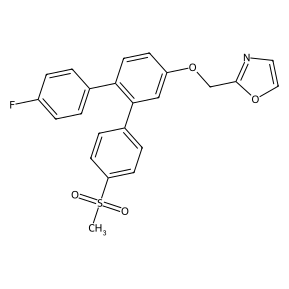 CS(=O)(=O)c1ccc(-c2cc(OCc3ncco3)ccc2-c2ccc(F)cc2)cc1